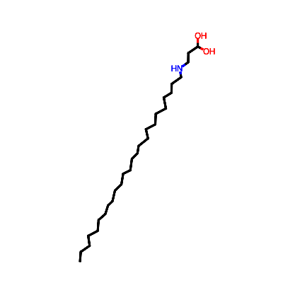 CCCCCCCCCCCCCCCCCCCCCCCCCNCCC(O)O